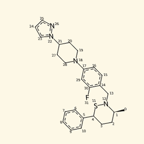 C[C@H]1CCC(c2ccccc2)SN1Cc1ccc(N2CCC(n3cccn3)CC2)cc1F